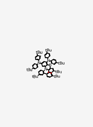 CC(C)(C)c1ccc(-c2cc(C(C)(C)C)ccc2N2c3ccc(C(C)(C)C)cc3B3c4cc(C(C)(C)C)ccc4N(c4ccc(C(C)(C)C)cc4)c4cc(N(c5ccc(C(C)(C)C)cc5)c5ccc(C(C)(C)C)cc5)cc2c43)cc1